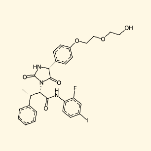 C[C@@H](c1ccccc1)[C@@H](C(=O)Nc1ccc(I)cc1F)N1C(=O)N[C@H](c2ccc(OCCOCCO)cc2)C1=O